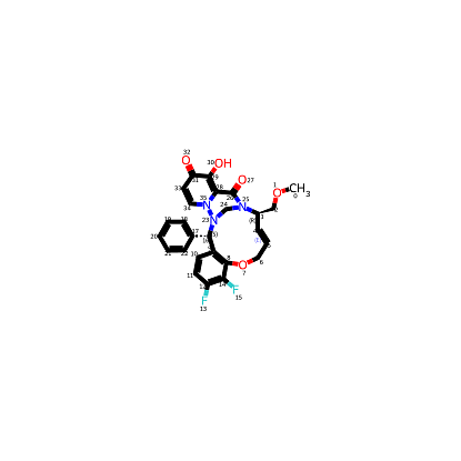 COC[C@H]1/C=C/COc2c(ccc(F)c2F)[C@H](c2ccccc2)N2CN1C(=O)c1c(O)c(=O)ccn12